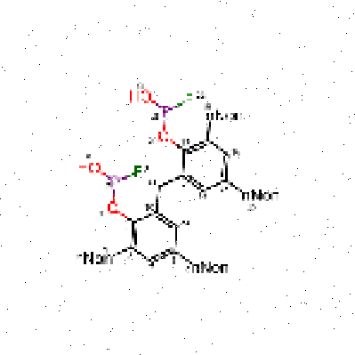 CCCCCCCCCc1cc(CCCCCCCCC)c(OP(O)F)c(Cc2cc(CCCCCCCCC)cc(CCCCCCCCC)c2OP(O)F)c1